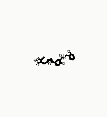 CC1=NNC(=O)C1=Cc1ccc(-c2ccc(Cl)c(C(=O)NCc3ccccc3Cl)c2)o1